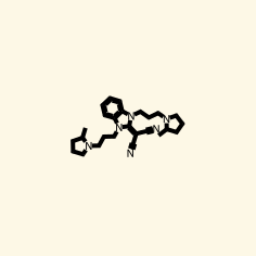 CC1CCCN1CCCN1C(=C(C#N)C#N)N(CCCN2CCCC2C)c2ccccc21